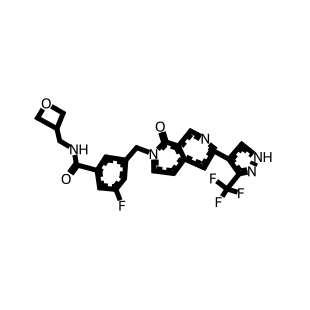 O=C(NCC1COC1)c1cc(F)cc(Cn2ccc3cc(-c4c[nH]nc4C(F)(F)F)ncc3c2=O)c1